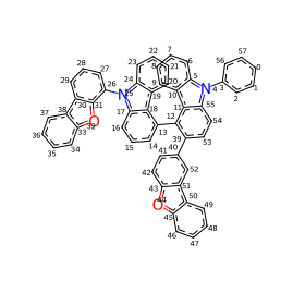 c1ccc(-n2c3ccccc3c3c(-c4cccc5c4c4ccccc4n5-c4cccc5c4oc4ccccc45)c(-c4ccc5oc6ccccc6c5c4)ccc32)cc1